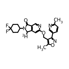 [2H]C1c2cc(OCc3c(-c4ccc(C)nc4)noc3C)ncc2C(=O)N1C1CCC(F)(F)CC1